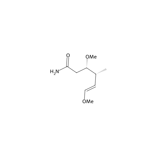 COC=C[C@@H](C)[C@H](CC(N)=O)OC